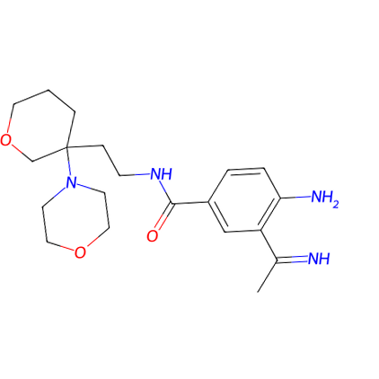 CC(=N)c1cc(C(=O)NCCC2(N3CCOCC3)CCCOC2)ccc1N